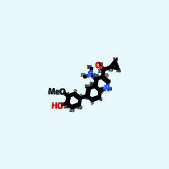 COc1cc(-c2ccc3ncc(C(=O)C4CC4)c(N(C)C)c3c2)ccc1O